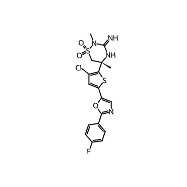 CN1C(=N)N[C@](C)(c2sc(-c3cnc(-c4ccc(F)cc4)o3)cc2Cl)CS1(=O)=O